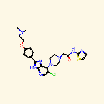 CN(C)CCOc1ccc(-c2nc3c(N4CCN(CC(=O)Nc5nccs5)CC4)c(Cl)cnc3[nH]2)cc1